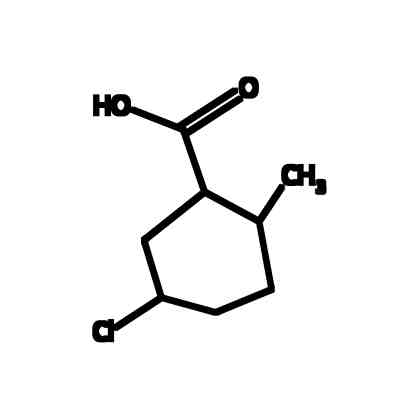 CC1CCC(Cl)CC1C(=O)O